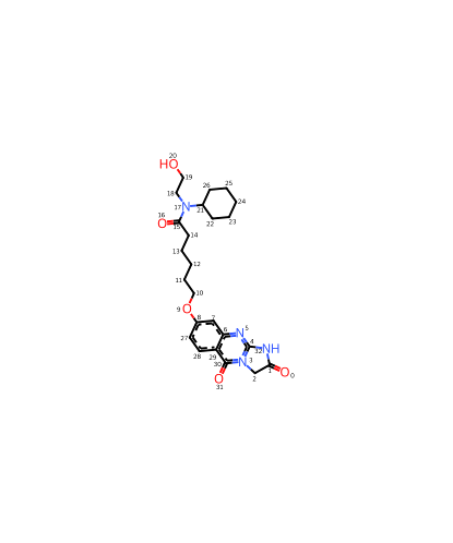 O=C1Cn2c(nc3cc(OCCCCCC(=O)N(CCO)C4CCCCC4)ccc3c2=O)N1